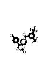 O=C1NCC(c2ccc(Cl)cc2)C2(CCN(C(=O)c3cc(C(F)(F)F)cc(C(F)(F)F)c3)CC2)O1